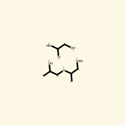 CCCCC(CC)CO.COCC(C)OCC(C)O